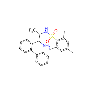 Cc1cc(C)c(S(=O)(=O)NC(C(N)c2ccccc2-c2ccccc2)C(F)(F)F)c(C)c1